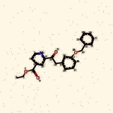 CCOC(=O)c1ccnc(C(=O)Cc2cccc(OCc3ccccc3)c2)c1